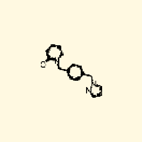 O=c1ccccn1Cc1ccc(Cn2cccn2)cc1